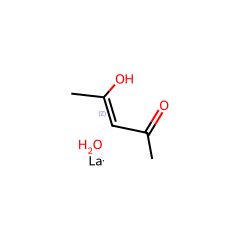 CC(=O)/C=C(/C)O.O.[La]